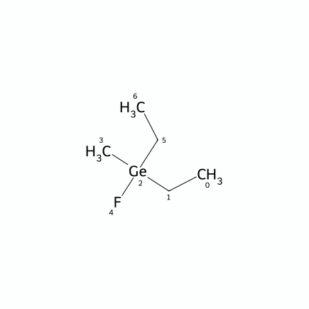 C[CH2][Ge]([CH3])([F])[CH2]C